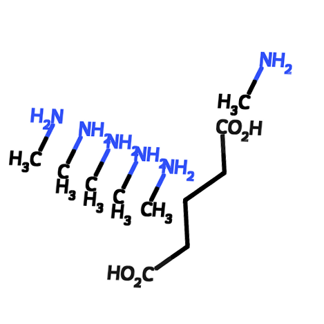 CN.CN.CN.CN.CN.CN.O=C(O)CCCC(=O)O